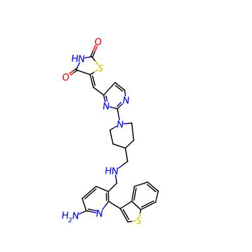 Nc1ccc(CNCC2CCN(c3nccc(/C=C4\SC(=O)NC4=O)n3)CC2)c(-c2csc3ccccc23)n1